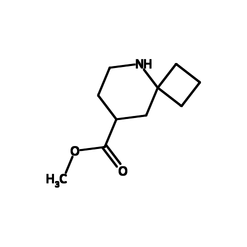 COC(=O)C1CCNC2(CCC2)C1